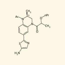 CCCOC(C)C(=O)N1C[C@H](C)N(C(C)=O)c2ccc(-c3ncc(N)s3)cc21